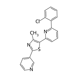 Cc1nc(-c2cccnc2)sc1-c1cccc(-c2ccccc2Cl)n1